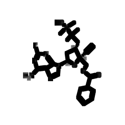 C#C[C@]1(COC(=O)c2ccccc2)O[C@@H](n2cnc3c(N)nc(F)nc32)C[C@@H]1CC(C)(C)[Si](C)(C)O